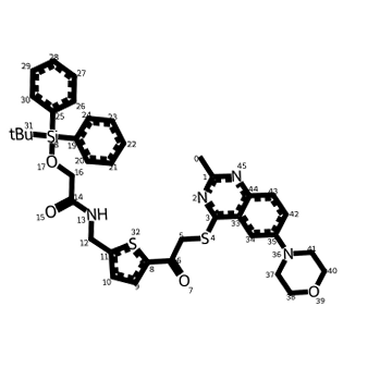 Cc1nc(SCC(=O)c2ccc(CNC(=O)CO[Si](c3ccccc3)(c3ccccc3)C(C)(C)C)s2)c2cc(N3CCOCC3)ccc2n1